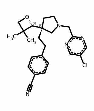 CC1(C)CO[C@@H]1[C@]1(CCc2ccc(C#N)cc2)CCN(Cc2ncc(Cl)cn2)C1